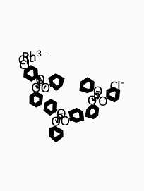 [Cl-].[Cl-].[Cl-].[Rh+3].c1ccc(OP(Oc2ccccc2)Oc2ccccc2)cc1.c1ccc(OP(Oc2ccccc2)Oc2ccccc2)cc1.c1ccc(OP(Oc2ccccc2)Oc2ccccc2)cc1